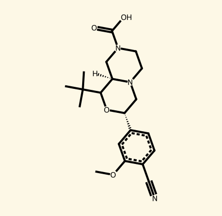 COc1cc([C@H]2CN3CCN(C(=O)O)C[C@@H]3C(C(C)(C)C)O2)ccc1C#N